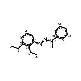 CCc1cccc(N=NNc2ccccc2)c1CC